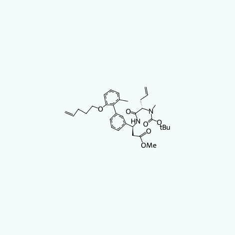 C=CCCCOc1cccc(C)c1-c1cccc([C@H](CC(=O)OC)NC(=O)[C@H](CC=C)N(C)C(=O)OC(C)(C)C)c1